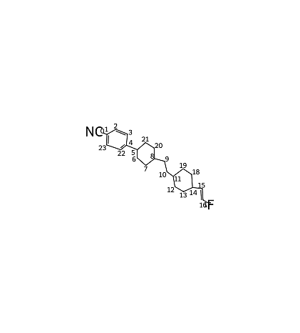 N#Cc1ccc(C2CCC(CCC3CCC(C=CF)CC3)CC2)cc1